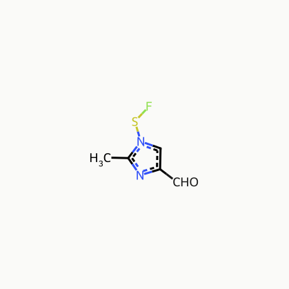 Cc1nc(C=O)cn1SF